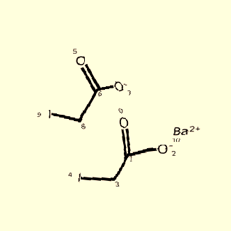 O=C([O-])CI.O=C([O-])CI.[Ba+2]